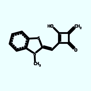 C=C1C(=O)C(/C=C2\Sc3ccccc3N2C)=C1O